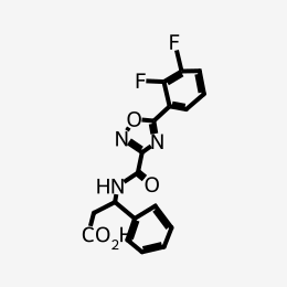 O=C(O)CC(NC(=O)c1noc(-c2cccc(F)c2F)n1)c1ccccc1